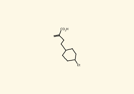 C=C(CCC1CCC(CC)CC1)C(=O)O